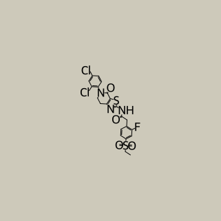 CCS(=O)(=O)c1ccc(CC(=O)Nc2nc3c(s2)C(=O)N(c2ccc(Cl)cc2Cl)CC3)c(F)c1